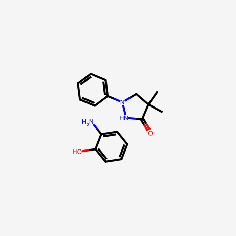 CC1(C)CN(c2ccccc2)NC1=O.Nc1ccccc1O